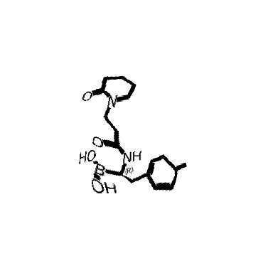 CC1C=CC(C[C@H](NC(=O)CCN2CCCCC2=O)B(O)O)=CC1